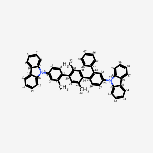 Cc1cc(-n2c3ccccc3c3ccccc32)ccc1-c1cc(C)c(-c2ccc(-n3c4ccccc4c4ccccc43)cc2-c2ccccc2)cc1C